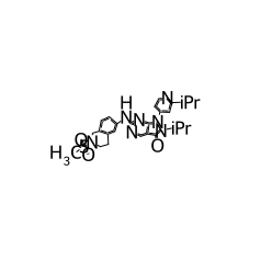 CC(C)c1cc(-n2c3nc(Nc4ccc5c(c4)CCN(S(C)(=O)=O)C5)ncc3c(=O)n2C(C)C)ccn1